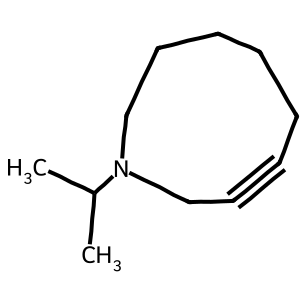 CC(C)N1CC#CCCCCC1